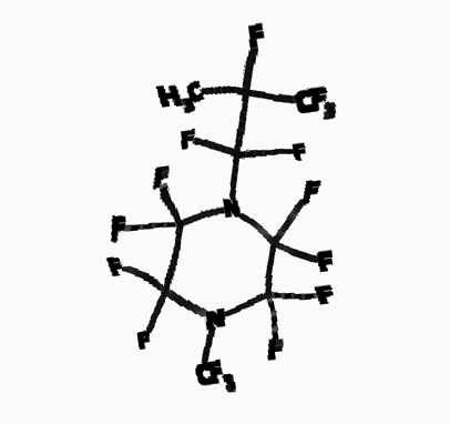 CC(F)(C(F)(F)F)C(F)(F)N1C(F)(F)C(F)(F)N(C(F)(F)F)C(F)(F)C1(F)F